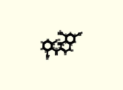 Oc1cc(Cl)cc2c1NC(Nc1c(F)cccc1Br)=NS2